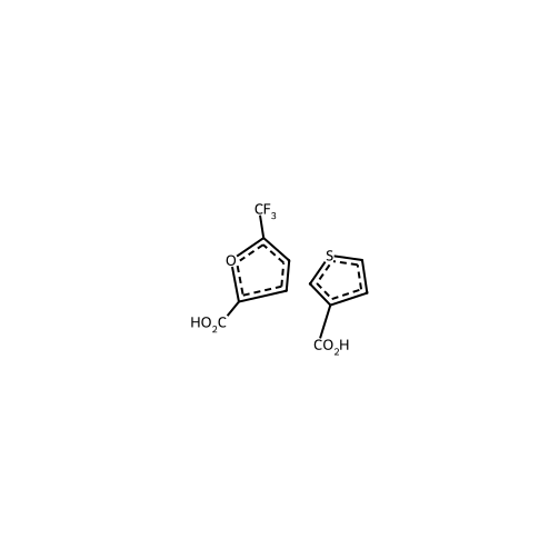 O=C(O)c1ccc(C(F)(F)F)o1.O=C(O)c1ccsc1